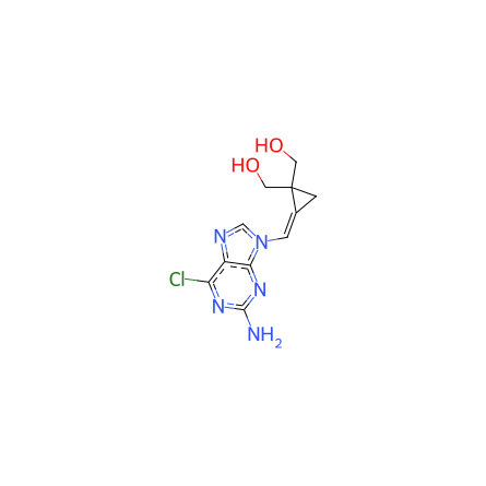 Nc1nc(Cl)c2ncn(/C=C3/CC3(CO)CO)c2n1